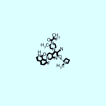 C=C(F)C(=O)N1CCN(c2c(C#N)c(OC[C@@H]3CCCN3C)nc3c2CCN(c2c(F)ccc4cc[nH]c(=O)c24)C3)C[C@H]1C